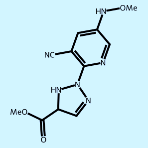 CONc1cnc(N2N=CC(C(=O)OC)N2)c(C#N)c1